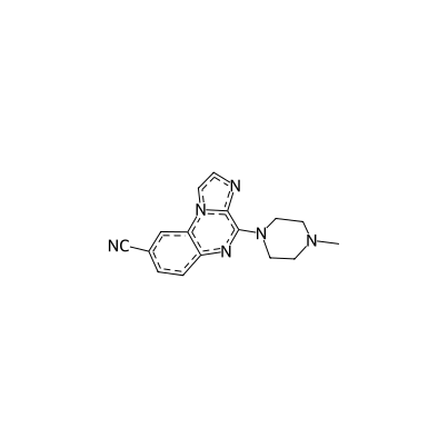 CN1CCN(c2nc3ccc(C#N)cc3n3ccnc23)CC1